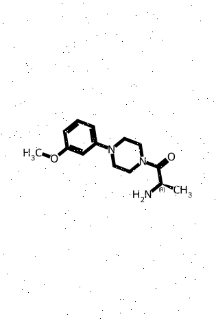 COc1cccc(N2CCN(C(=O)[C@@H](C)N)CC2)c1